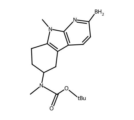 Bc1ccc2c3c(n(C)c2n1)CCC(N(C)C(=O)OC(C)(C)C)C3